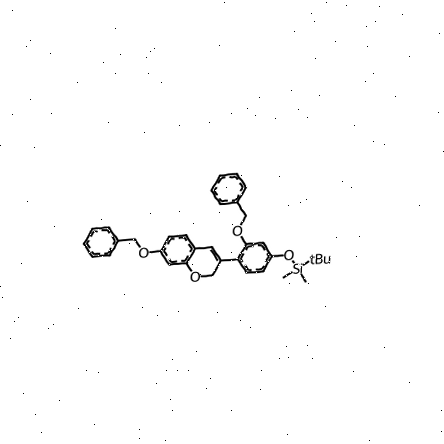 CC(C)(C)[Si](C)(C)Oc1ccc(C2=Cc3ccc(OCc4ccccc4)cc3OC2)c(OCc2ccccc2)c1